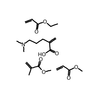 C=C(C)C(=O)OC.C=C(CCCN(C)C)C(=O)O.C=CC(=O)OC.C=CC(=O)OCC